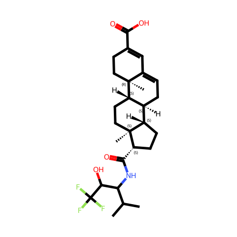 CC(C)C(NC(=O)[C@H]1CC[C@H]2[C@@H]3CC=C4C=C(C(=O)O)CC[C@]4(C)[C@H]3CC[C@]12C)C(O)C(F)(F)F